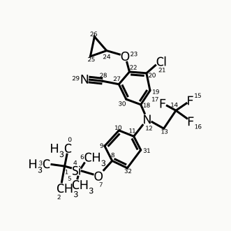 CC(C)(C)[Si](C)(C)Oc1ccc(N(CC(F)(F)F)c2cc(Cl)c(OC3CC3)c(C#N)c2)cc1